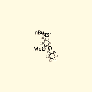 CCCC[N+]([O-])=Cc1ccc(OCc2ccccc2)c(OC)c1